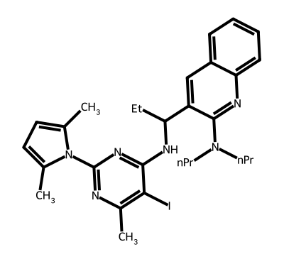 CCCN(CCC)c1nc2ccccc2cc1C(CC)Nc1nc(-n2c(C)ccc2C)nc(C)c1I